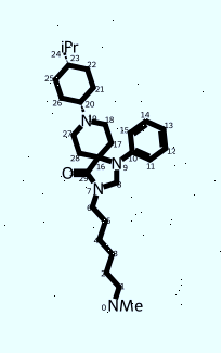 CNCCCCCCN1CN(c2ccccc2)C2(CCN([C@H]3CC[C@@H](C(C)C)CC3)CC2)C1=O